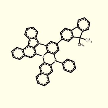 CC1(C)c2ccccc2-c2ccc(-c3cc4c5c(c3)-n3c6ccccc6c6c7ccccc7cc(c63)B5c3cc5ccccc5cc3N4c3ccccc3)cc21